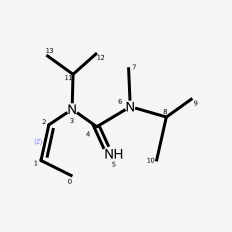 C/C=C\N(C(=N)N(C)C(C)C)C(C)C